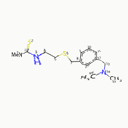 CNC(=S)NCCSCc1cccc(CN(C)C)c1